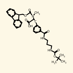 CN(C(=O)OCC1c2ccccc2-c2ccccc21)C(Cc1cccc(C(=O)NCCCNC(=O)OC(C)(C)C)c1)C(=O)O